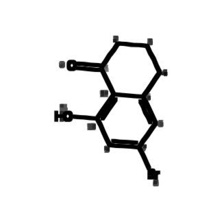 O=C1CCCc2cc(Br)cc(O)c21